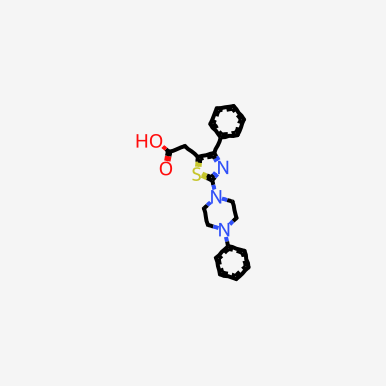 O=C(O)Cc1sc(N2CCN(c3ccccc3)CC2)nc1-c1ccccc1